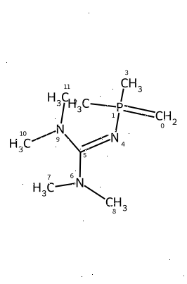 C=P(C)(C)N=C(N(C)C)N(C)C